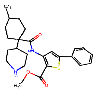 COC(=O)c1sc(-c2ccccc2)cc1NC(=O)C1(C2CCNCC2)CCC(C)CC1